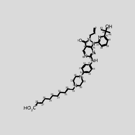 C=CCn1c(=O)c2cnc(Nc3ccc(N4CCN(CCCCCCCCCCC(=O)O)CC4)cc3)nc2n1-c1cccc(C(C)(C)O)n1